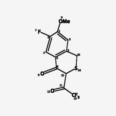 COc1cc2c(cc1F)C(=O)C(C(=O)C(F)(F)F)SC2